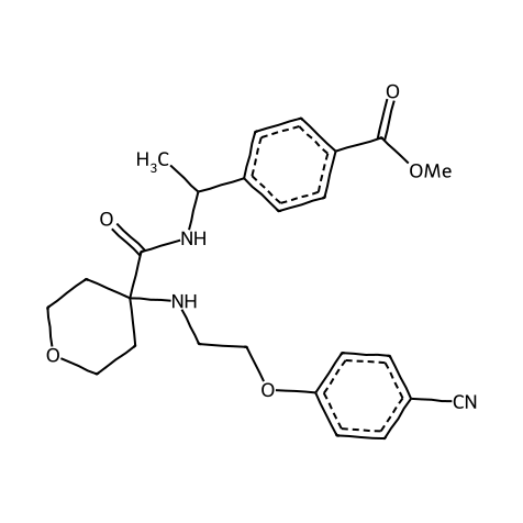 COC(=O)c1ccc(C(C)NC(=O)C2(NCCOc3ccc(C#N)cc3)CCOCC2)cc1